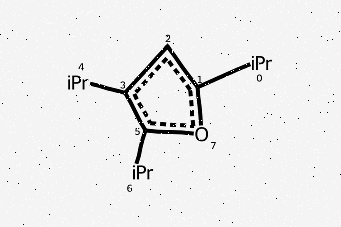 CC(C)c1cc(C(C)C)c(C(C)C)o1